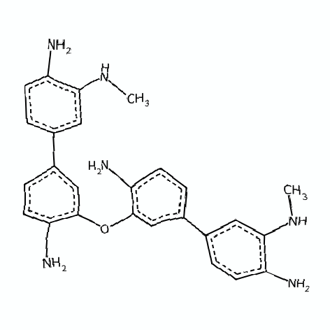 CNc1cc(-c2ccc(N)c(Oc3cc(-c4ccc(N)c(NC)c4)ccc3N)c2)ccc1N